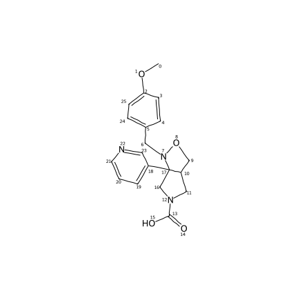 COc1ccc(CN2OCC3CN(C(=O)O)CC32c2cccnc2)cc1